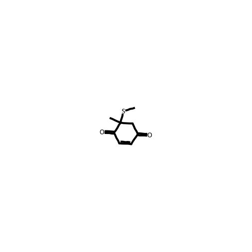 CSC1(C)CC(=O)C=CC1=O